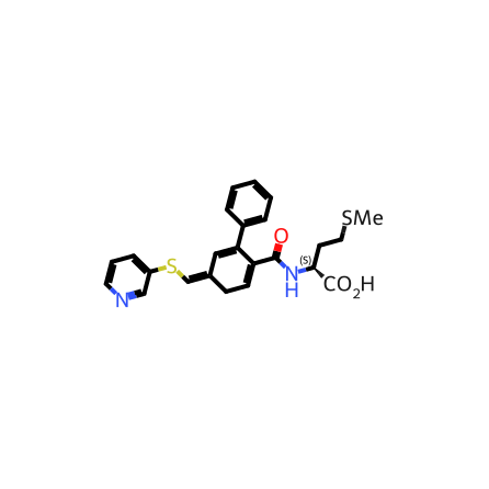 CSCC[C@H](NC(=O)C1=CCC(=CSc2cccnc2)C=C1c1ccccc1)C(=O)O